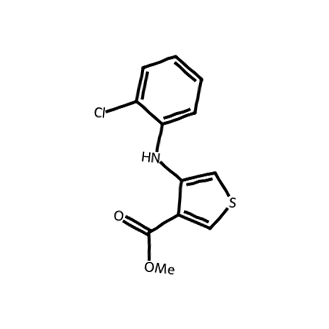 COC(=O)c1cscc1Nc1ccccc1Cl